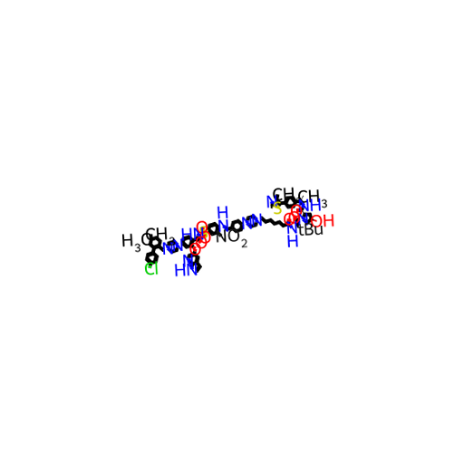 Cc1ncsc1-c1ccc([C@H](C)NC(=O)[C@@H]2C[C@@H](O)CN2C(=O)[C@@H](NC(=O)CCCCCCN2CCN(C3CCC(CNc4ccc(S(=O)(=O)NC(=O)c5ccc(N6CCN(CC7=C(c8ccc(Cl)cc8)CC(C)(C)CC7)CC6)cc5Oc5cnc6[nH]ccc6c5)cc4[N+](=O)[O-])CC3)CC2)C(C)(C)C)cc1